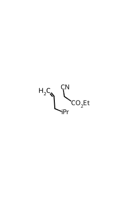 C=CCC(C)C.CCOC(=O)CC#N